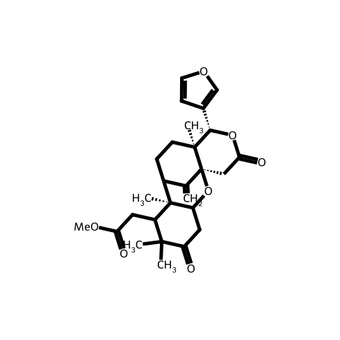 C=C1C2CC[C@@]3(C)[C@H](c4ccoc4)OC(=O)C[C@]13OC1CC(=O)C(C)(C)C(CC(=O)OC)[C@]12C